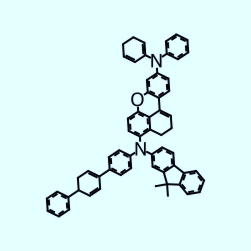 CC1(C)c2ccccc2-c2ccc(N(c3ccc(C4=CCC(c5ccccc5)C=C4)cc3)c3ccc4c5c3CCC=C5c3ccc(N(C5=CCCC=C5)c5ccccc5)cc3O4)cc21